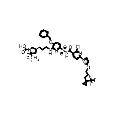 CC1(C)C[C@H](CCCNc2nc(S(=O)(=O)NC(=O)c3ccc(-n4ccc(OCCCC5(C(F)(F)F)CC5)n4)nc3Cl)ccc2OCc2ccccc2)CN1C(=O)O